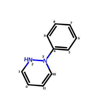 C1=CNN(c2ccccc2)C=C1